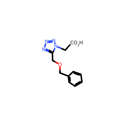 O=C(O)Cn1nnnc1COCc1ccccc1